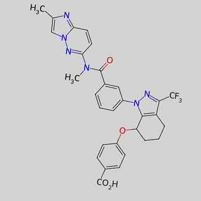 Cc1cn2nc(N(C)C(=O)c3cccc(-n4nc(C(F)(F)F)c5c4C(Oc4ccc(C(=O)O)cc4)CCC5)c3)ccc2n1